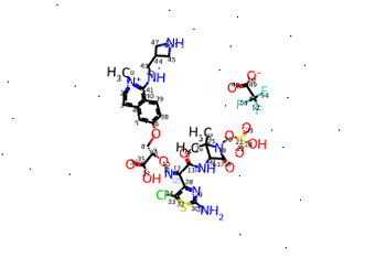 C[n+]1ccc2cc(OC[C@H](O/N=C(\C(=O)N[C@@H]3C(=O)N(OS(=O)(=O)O)C3(C)C)c3nc(N)sc3Cl)C(=O)O)ccc2c1NCC1CNC1.O=C([O-])C(F)(F)F